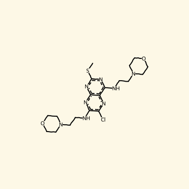 CSc1nc(NCCN2CCOCC2)c2nc(Cl)c(NCCN3CCOCC3)nc2n1